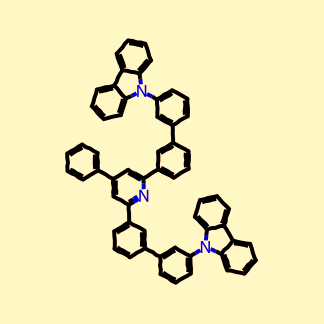 c1ccc(-c2cc(-c3cccc(-c4cccc(-n5c6ccccc6c6ccccc65)c4)c3)nc(-c3cccc(-c4cccc(-n5c6ccccc6c6ccccc65)c4)c3)c2)cc1